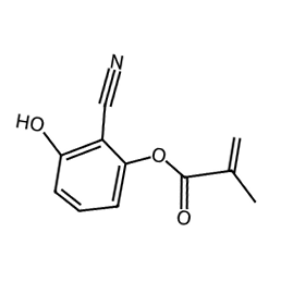 C=C(C)C(=O)Oc1cccc(O)c1C#N